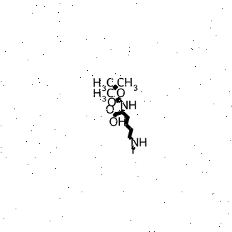 CC(C)(C)OC(=O)NC(CCCCNI)C(=O)O